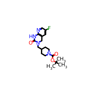 CC(C)(C)OC(=O)N1CCC(CN2Cc3cc(F)cnc3NC2=O)CC1